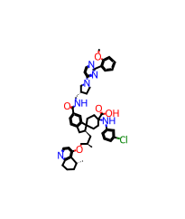 COc1ccccc1-c1nccc(N2CC[C@H](CNC(=O)c3ccc4c(c3)C3(CCC(Nc5cccc(Cl)c5)(C(=O)O)CC3)[C@@H](C[C@@H](C)COc3ccnc5c3[C@H](C)CCC5)C4)C2)n1